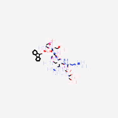 CSCC[C@H](NC(=O)[C@H](CCC(=O)O)NC(=O)[C@H](CC(=O)O)NC(=O)OCC1c2ccccc2-c2ccccc21)C(=O)N[C@@H](CCC(N)=O)C(=O)N[C@@H](CCCNC(=N)N)C(=O)N[C@@H](CCCNC(=N)N)C(=O)N[C@@H](C)C(=O)N[C@@H](CC(=O)O)C(=O)O